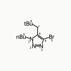 CCCCn1nnc(Br)c1CC(C)(C)C